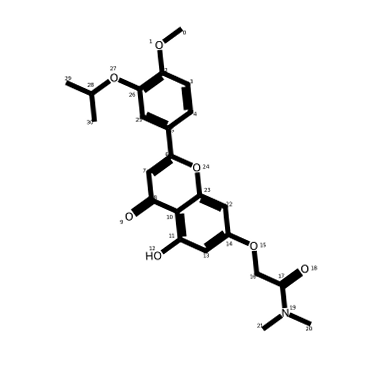 COc1ccc(-c2cc(=O)c3c(O)cc(OCC(=O)N(C)C)cc3o2)cc1OC(C)C